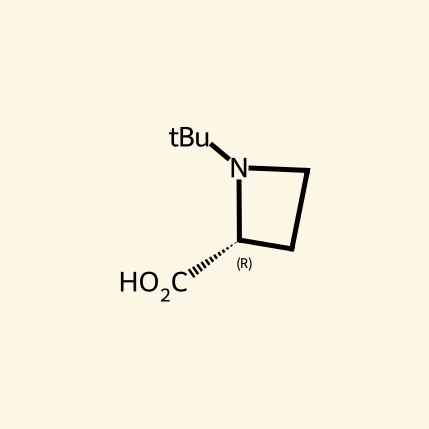 CC(C)(C)N1CC[C@@H]1C(=O)O